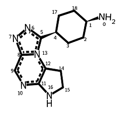 N[C@H]1CC[C@@H](c2nnc3cnc4c(n32)CCN4)CC1